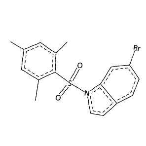 Cc1cc(C)c(S(=O)(=O)n2ccc3ccc(Br)cc32)c(C)c1